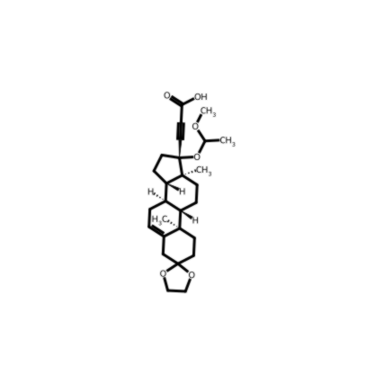 COC(C)O[C@@]1(C#CC(=O)O)CC[C@H]2[C@@H]3CC=C4CC5(CC[C@]4(C)[C@H]3CC[C@@]21C)OCCO5